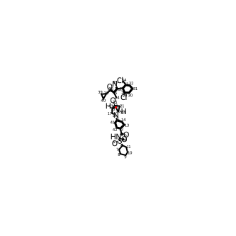 O=C(NS(=O)(=O)C1CCCCC1)c1ccc(N2C[C@@H]3C[C@H]2C[C@H]3OCc2c(-c3c(Cl)cccc3Cl)noc2C2CC2)cc1